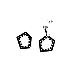 [Fe+2].[Na][c-]1cccc1.c1cc[cH-]c1